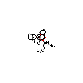 CCON=C(CCC(=O)O)c1nc2ccccc2n([C@@H]2CC3CCC[C@H](C2)N3C2CC3CCCC(C3)C2)c1=O